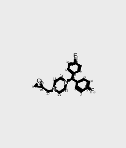 Fc1ccc(C(c2ccc(F)cc2)N2CCN(CC3CO3)CC2)cc1